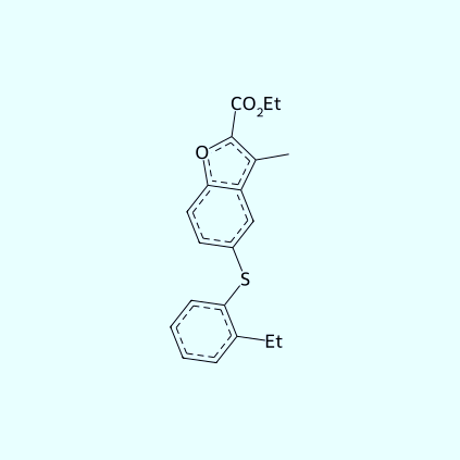 CCOC(=O)c1oc2ccc(Sc3ccccc3CC)cc2c1C